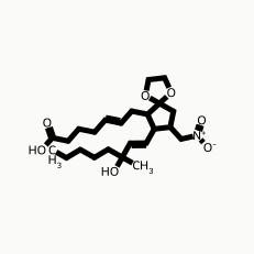 CCCCCC(C)(O)C=CC1C(C[N+](=O)[O-])CC2(OCCO2)C1CC=CCCCC(=O)O